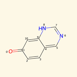 O=c1ccc2cnc[nH]c-2c1